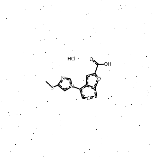 CSc1cn(-c2cccc3oc(C(=O)O)cc23)cn1.Cl